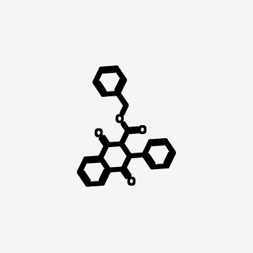 O=C(OCc1ccccc1)C1C(=O)c2ccccc2C(=O)C1c1ccccc1